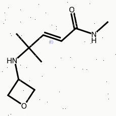 CNC(=O)/C=C/C(C)(C)NC1COC1